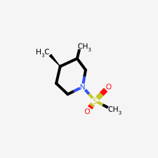 CC1CN(S(C)(=O)=O)CC[C@H]1C